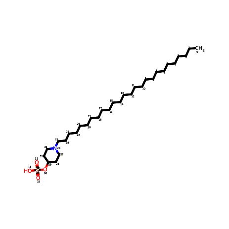 CCCCCCCCCCCCCCCCCCCCCCCCCCN1CCC(OS(=O)(=O)O)CC1